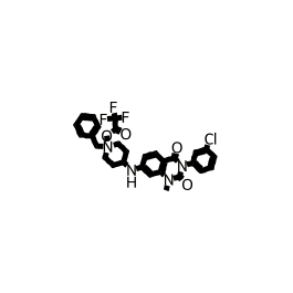 Cn1c(=O)n(-c2cccc(Cl)c2)c(=O)c2ccc(NC3CC[N+](Cc4ccccc4)(OC(=O)C(F)(F)F)CC3)cc21